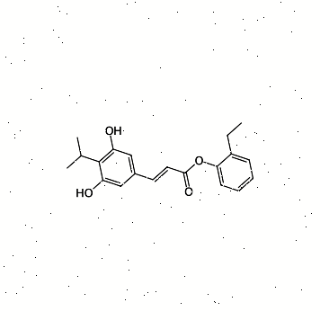 CCc1ccccc1OC(=O)C=Cc1cc(O)c(C(C)C)c(O)c1